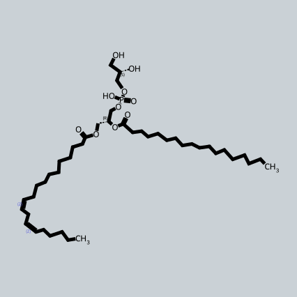 CCCCC/C=C\C/C=C\CCCCCCCCCC(=O)OC[C@H](COP(=O)(O)OC[C@@H](O)CO)OC(=O)CCCCCCCCCCCCCCCCC